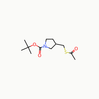 CC(=O)SCC1CCN(C(=O)OC(C)(C)C)C1